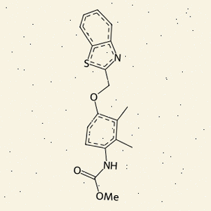 COC(=O)Nc1ccc(OCc2nc3ccccc3s2)c(C)c1C